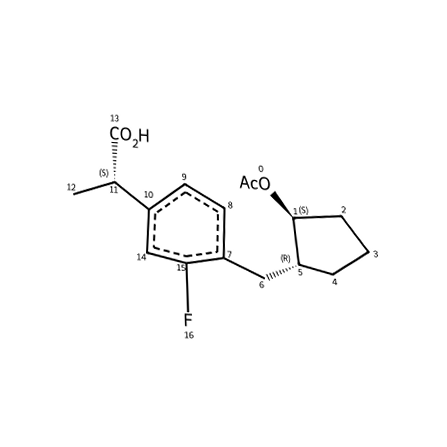 CC(=O)O[C@H]1CCC[C@@H]1Cc1ccc([C@H](C)C(=O)O)cc1F